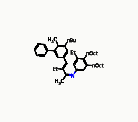 CCCCCCCCc1cc(N=C(C)C(=Cc2cc(CCCC)c(C)c(-c3ccccc3)c2)CC)cc(CC)c1CCCCCCCC